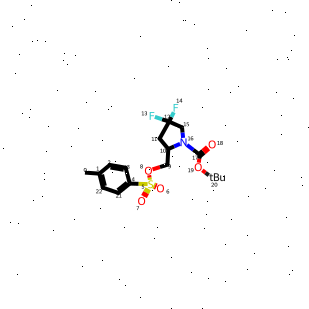 Cc1ccc(S(=O)(=O)OCC2CC(F)(F)CN2C(=O)OC(C)(C)C)cc1